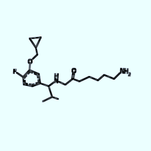 CC(C)C(NCC(=O)CCCCCN)c1ccc(F)c(OCC2CC2)c1